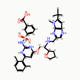 Cc1cccc(C)c1-c1cc(OC[C@H](NCc2cnc3cc(C(C)(C)C)n(C)c3n2)C2CCCO2)nc(NS(=O)(=O)c2cccc(C(=O)O)c2)n1